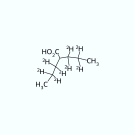 [2H]C([2H])(C)C([2H])([2H])C(C(=O)O)C([2H])([2H])C([2H])([2H])C